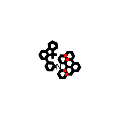 CC1(C)c2ccccc2-c2cccc(-c3cccc(N(c4ccccc4)c4ccccc4C4C=CC=C5C=CCC(c6ccccc6)C54)c3)c21